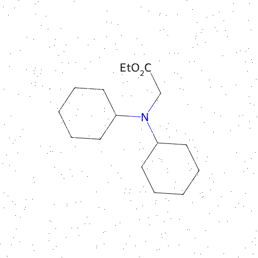 CCOC(=O)CN(C1CCCCC1)C1CCCCC1